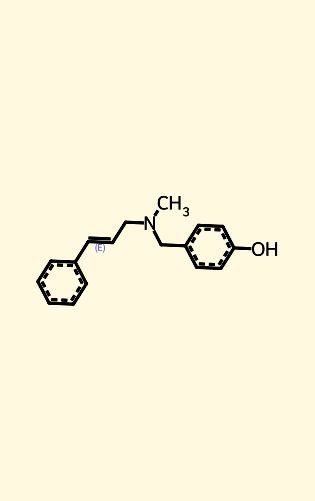 CN(C/C=C/c1ccccc1)Cc1ccc(O)cc1